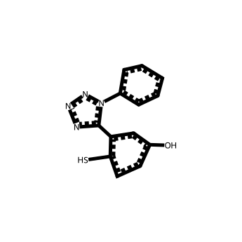 Oc1ccc(S)c(-c2nnnn2-c2ccccc2)c1